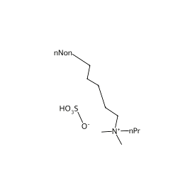 CCCCCCCCCCCCCC[N+](C)(C)CCC.O=S(=O)([O-])O